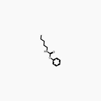 [CH2]CCCCNC(=O)Oc1ccccc1